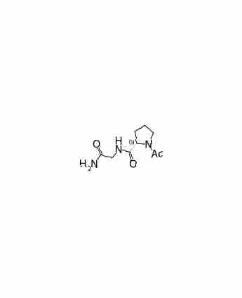 CC(=O)N1CCC[C@H]1C(=O)NCC(N)=O